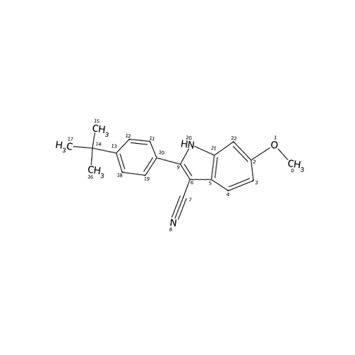 COc1ccc2c(C#N)c(-c3ccc(C(C)(C)C)cc3)[nH]c2c1